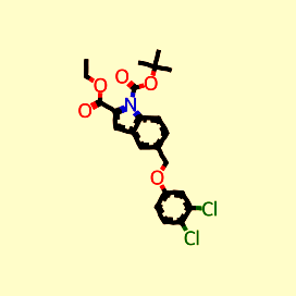 CCOC(=O)c1cc2cc(COc3ccc(Cl)c(Cl)c3)ccc2n1C(=O)OC(C)(C)C